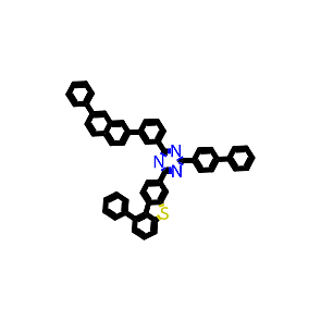 c1ccc(-c2ccc(-c3nc(-c4cccc(-c5ccc6ccc(-c7ccccc7)cc6c5)c4)nc(-c4ccc5c(c4)sc4cccc(-c6ccccc6)c45)n3)cc2)cc1